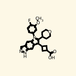 COc1cc(-n2c(C3CCOCC3)c(C3CC(C(=O)O)C3)c3cc4[nH]ncc4cc32)ccc1F